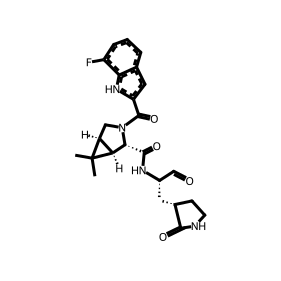 CC1(C)[C@@H]2[C@@H](C(=O)N[C@H](C=O)C[C@@H]3CCNC3=O)N(C(=O)c3cc4cccc(F)c4[nH]3)C[C@@H]21